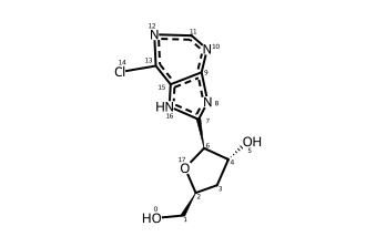 OC[C@@H]1C[C@@H](O)[C@H](c2nc3ncnc(Cl)c3[nH]2)O1